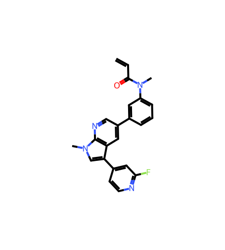 C=CC(=O)N(C)c1cccc(-c2cnc3c(c2)c(-c2ccnc(F)c2)cn3C)c1